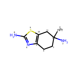 CCCC1(N)CCc2nc(N)sc2C1